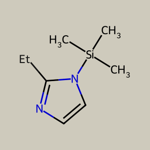 CCc1nccn1[Si](C)(C)C